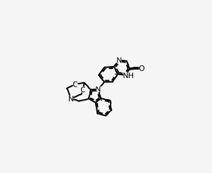 O=c1cnc2ccc(-n3c4c(c5ccccc53)CN3CCC4CC3)cc2[nH]1